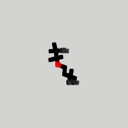 COC(C)(C)CCOC(C)(C)[Si](C)(C)C(C)(C)C